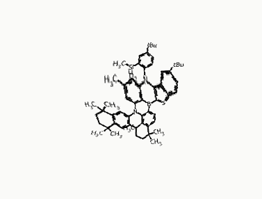 C[SiH2]c1cc(C(C)(C)C)ccc1N1c2cc(C)cc3c2B(c2ccc4c5c2N3c2cc3c(cc2C5(C)CCC4(C)C)C(C)(C)CCC3(C)C)c2sc3ccc(C(C)(C)C)cc3c21